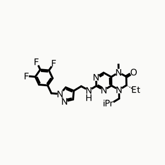 CC[C@H]1C(=O)N(C)c2cnc(NCc3cnn(Cc4cc(F)c(F)c(F)c4)c3)nc2N1CC(C)C